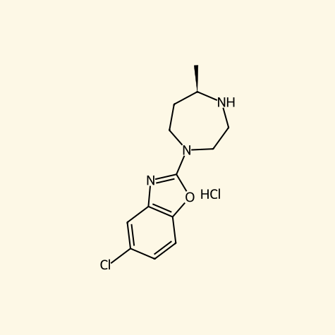 C[C@@H]1CCN(c2nc3cc(Cl)ccc3o2)CCN1.Cl